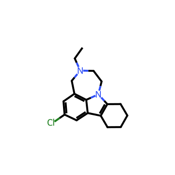 CCN1CCn2c3c(c4cc(Cl)cc(c42)C1)CCCC3